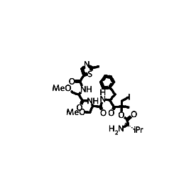 COCC(NC(=O)c1cnc(C)s1)C(=O)NC(COC)C(=O)NC(Cc1ccccc1)C(=O)C(C)(CI)OC(=O)[C@@H](N)C(C)C